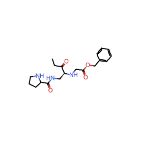 CCC(=O)[C@H](CNC(=O)C1CCCN1)NCC(=O)OCc1ccccc1